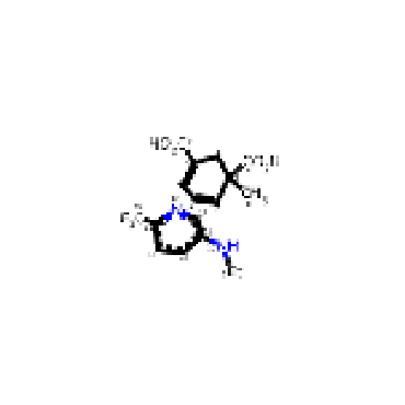 CC1(C(=O)O)C=CC=C(C(=O)O)C1.CCNc1ccc(C(F)(F)F)nc1